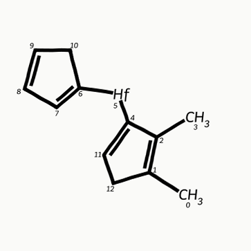 CC1=C(C)[C]([Hf][C]2=CC=CC2)=CC1